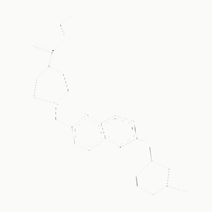 CCOC(=O)C1CCN(Cc2ccc3cc(OC4CCCC(C)C4)ccc3n2)CC1